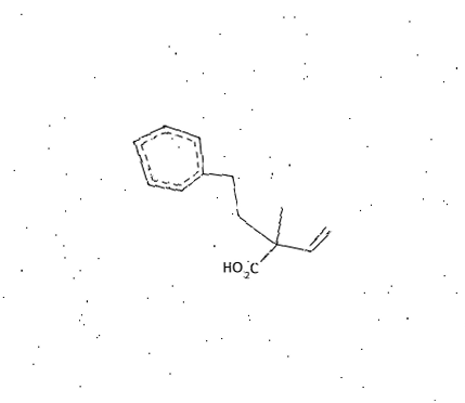 C=CC(C)(CCc1ccccc1)C(=O)O